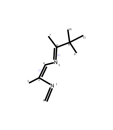 C=N/C(C)=C\N=C(/C)C(C)(C)C